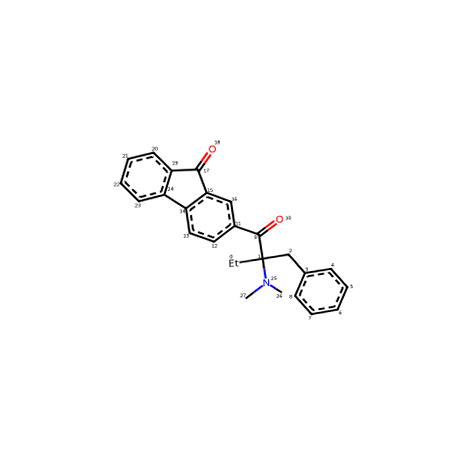 CCC(Cc1ccccc1)(C(=O)c1ccc2c(c1)C(=O)c1ccccc1-2)N(C)C